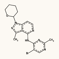 Cc1ncc(Br)c(Nc2nccc3c2c(C)nn3C2CCCCO2)n1